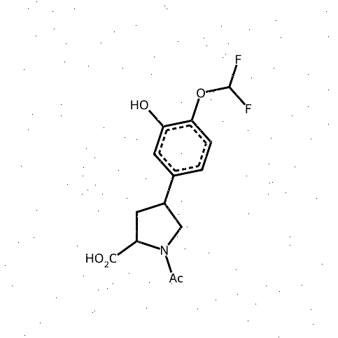 CC(=O)N1CC(c2ccc(OC(F)F)c(O)c2)CC1C(=O)O